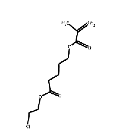 C=C(C)C(=O)OCCCCC(=O)OCCCl